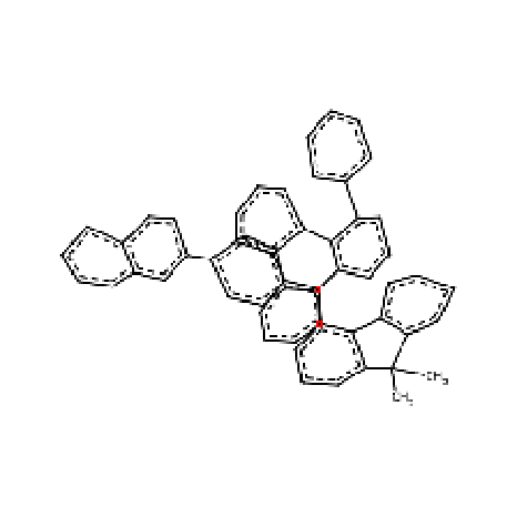 CC1(C)c2ccccc2-c2c(N(c3ccc(-c4ccc5ccccc5c4)cc3)c3cccc(-c4ccccc4)c3-c3ccccc3-c3ccccc3)cccc21